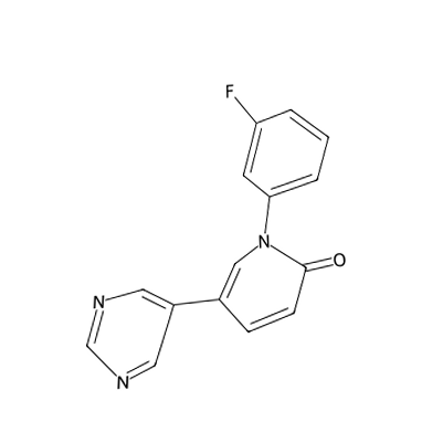 O=c1ccc(-c2cncnc2)cn1-c1cccc(F)c1